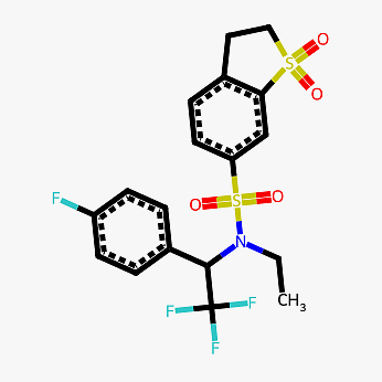 CCN(C(c1ccc(F)cc1)C(F)(F)F)S(=O)(=O)c1ccc2c(c1)S(=O)(=O)CC2